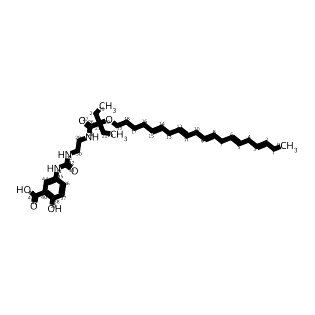 CCC=CCC=CCC=CCC=CCC=CCCCCOC(CC)(CC)C(=O)NCCNC(=O)Nc1ccc(O)c(C(=O)O)c1